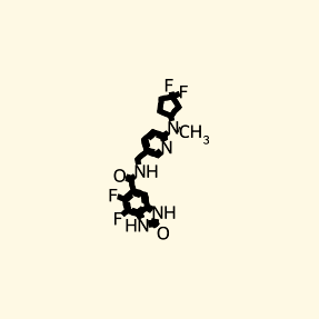 CN(c1ccc(CNC(=O)c2cc3[nH]c(=O)[nH]c3c(F)c2F)cn1)C1CCC(F)(F)C1